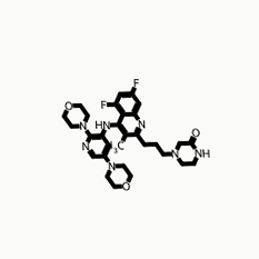 Cc1c(CCCN2CCNC(=O)C2)nc2cc(F)cc(F)c2c1Nc1cc(N2CCOCC2)cnc1N1CCOCC1